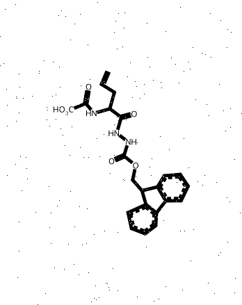 C=CCC(NC(=O)C(=O)O)C(=O)NNC(=O)OCC1c2ccccc2-c2ccccc21